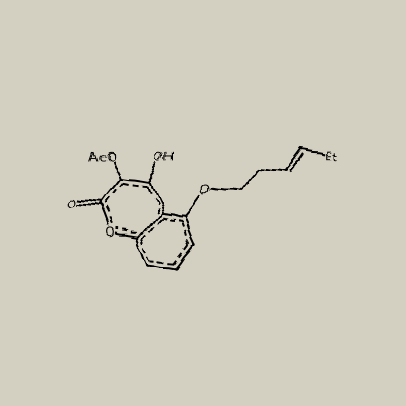 CC/C=C/CCOc1cccc2oc(=O)c(OC(C)=O)c(O)c12